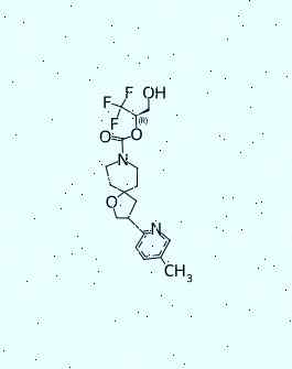 Cc1ccc(C2COC3(CCN(C(=O)O[C@H](CO)C(F)(F)F)CC3)C2)nc1